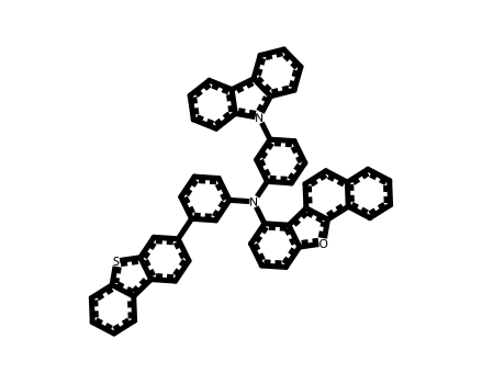 c1cc(-c2ccc3c(c2)sc2ccccc23)cc(N(c2cccc(-n3c4ccccc4c4ccccc43)c2)c2cccc3oc4c5ccccc5ccc4c23)c1